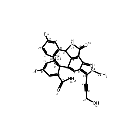 Cn1nc2c3c(c(-c4c(C(N)=O)cc(F)cc4C(F)(F)F)cc2c1C#CCO)C(c1cc(F)ccc1Cl)NC3=O